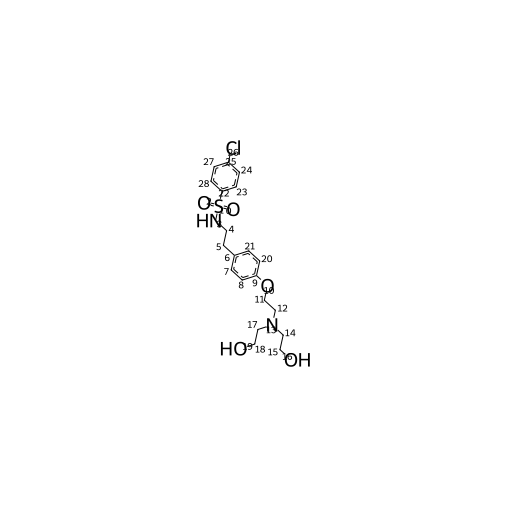 O=S(=O)(NCCc1ccc(OCCN(CCO)CCO)cc1)c1ccc(Cl)cc1